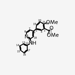 COC(=O)c1cc(-c2ccnc(Nc3ccccc3)c2)ccc1OC